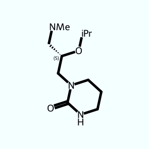 CNC[C@@H](CN1CCCNC1=O)OC(C)C